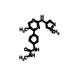 CNC(=O)Nc1ccc(-c2nc(Nc3cnn(C)c3)ncc2C)cc1